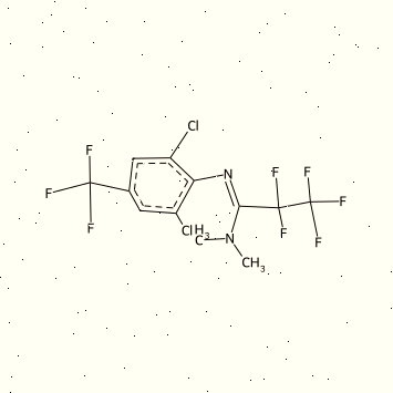 CN(C)C(=Nc1c(Cl)cc(C(F)(F)F)cc1Cl)C(F)(F)C(F)(F)F